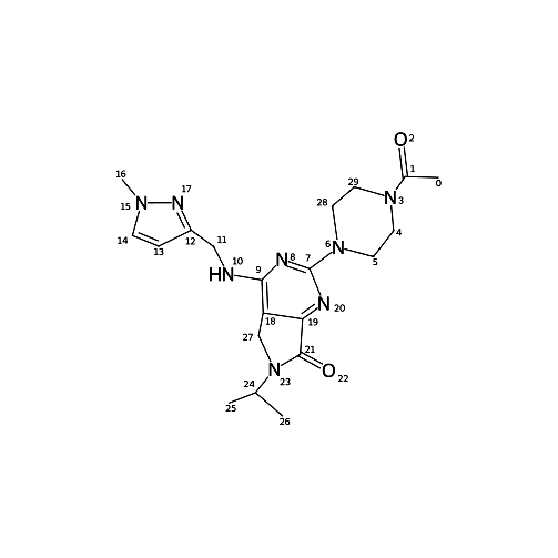 CC(=O)N1CCN(c2nc(NCc3ccn(C)n3)c3c(n2)C(=O)N(C(C)C)C3)CC1